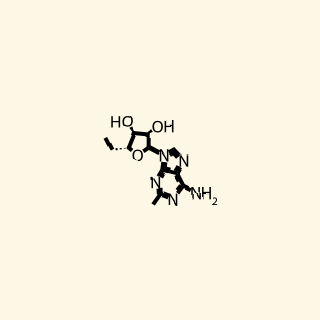 CC[C@H]1OC(n2cnc3c(N)nc(C)nc32)[C@H](O)[C@@H]1O